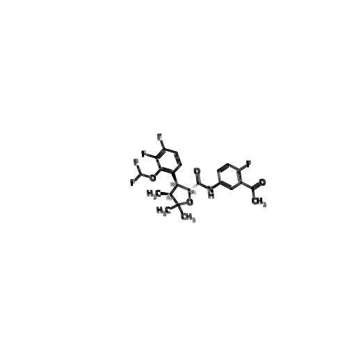 CC(=O)c1cc(NC(=O)[C@@H]2OC(C)(C)[C@@H](C)[C@H]2c2ccc(F)c(F)c2OC(F)F)ccc1F